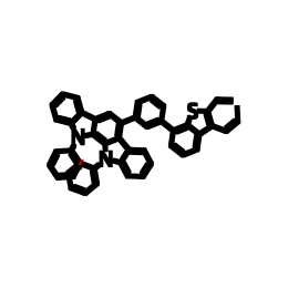 C=Cc1sc2c(-c3cccc(-c4cc5c6ccccc6n(-c6ccccc6)c5c5c4c4ccccc4n5-c4ccccc4)c3)cccc2c1/C=C\C